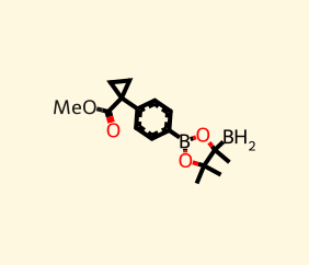 BC1(C)OB(c2ccc(C3(C(=O)OC)CC3)cc2)OC1(C)C